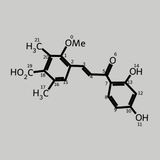 COc1c(C=CC(=O)c2ccc(O)cc2O)cc(C)c(C(=O)O)c1C